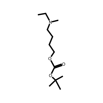 CCN(C)CCCCOC(=O)OC(C)(C)C